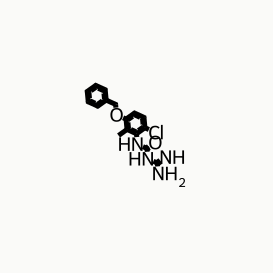 Cc1c(OCc2ccccc2)ccc(Cl)c1NC(=O)NC(=N)N